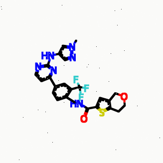 Cn1cc(Nc2nccc(-c3ccc(CNC(=O)c4cc5c(s4)CCOC5)c(C(F)(F)F)c3)n2)cn1